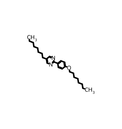 CCCCCCCCOc1ccc(-c2ncc(CCCCCCCC)cn2)cc1